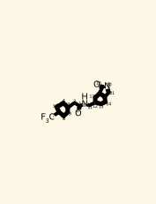 O=C(Cc1ccc(C(F)(F)F)cc1)NCc1ccc2c(c1)C(=O)N=C2